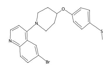 CSc1ccc(OC2CCN(c3ccnc4ccc(Br)cc34)CC2)cc1